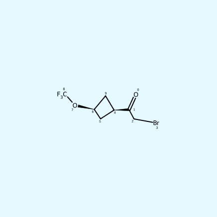 O=C(CBr)[C@H]1C[C@@H](OC(F)(F)F)C1